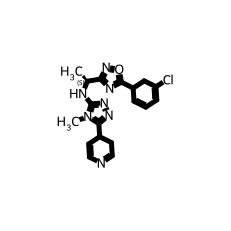 C[C@H](Nc1nnc(C2C=CN=CC2)n1C)c1noc(C2C=CC=C(Cl)C2)n1